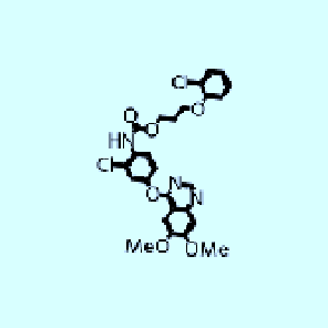 COc1cc2ncnc(Oc3ccc(NC(=O)OCCCOc4ccccc4Cl)c(Cl)c3)c2cc1OC